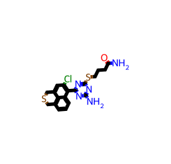 NC(=O)CCCSc1nc(N)nc(-c2c(Cl)cc3c4c(cccc24)CSC3)n1